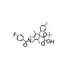 Cc1ccc(-c2c(C)c3c(c(C)c2[C@H](OC(C)(C)C)C(=O)O)CN(C(=O)c2ccc(F)cc2)C3)cc1